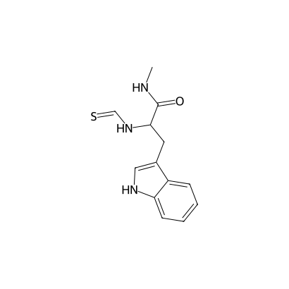 CNC(=O)C(Cc1c[nH]c2ccccc12)NC=S